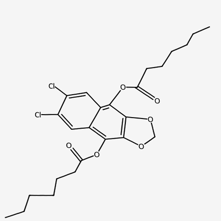 CCCCCCC(=O)Oc1c2c(c(OC(=O)CCCCCC)c3cc(Cl)c(Cl)cc13)OCO2